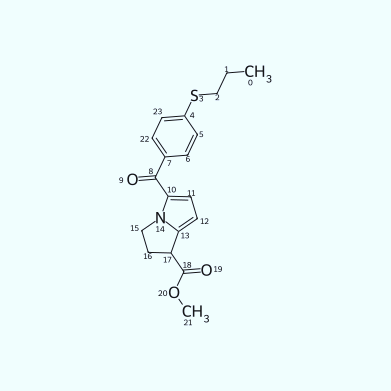 CCCSc1ccc(C(=O)c2ccc3n2CCC3C(=O)OC)cc1